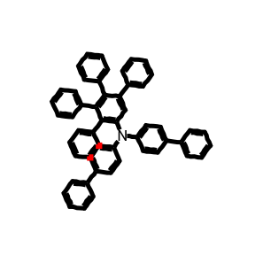 c1ccc(-c2ccc(N(c3ccc(-c4ccccc4)cc3)c3cc(-c4ccccc4)c(-c4ccccc4)c(-c4ccccc4)c3-c3ccccc3)cc2)cc1